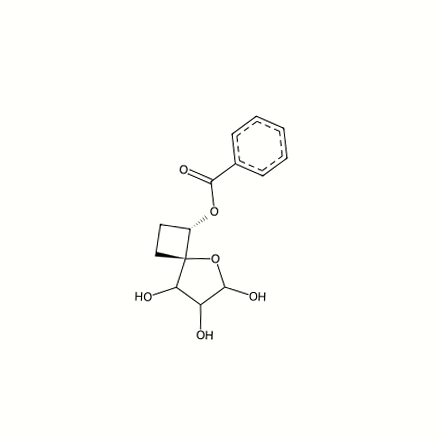 O=C(O[C@H]1CC[C@]12OC(O)C(O)C2O)c1ccccc1